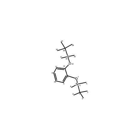 CC(C)(C)[Si](C)(C)Oc1ccccc1O[Si](C)(C)C(C)(C)C